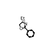 CC[C@H]1COC(c2ccccc2)=N1